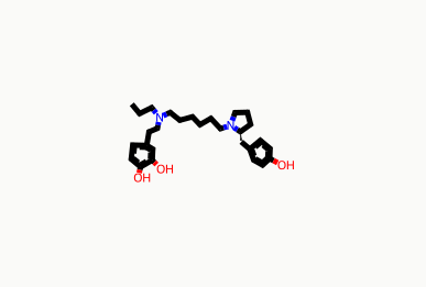 CCCN(CCCCCCN1CCC[C@@H]1Cc1ccc(O)cc1)CCc1ccc(O)c(O)c1